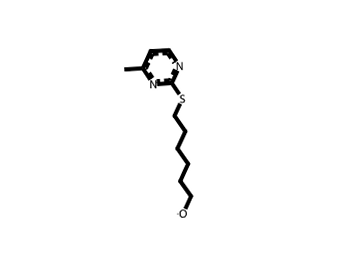 Cc1ccnc(SCCCCCC[O])n1